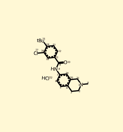 CN1CCc2ccc(NC(=O)c3ccc(C(C)(C)C)c(Cl)c3)cc2C1.Cl